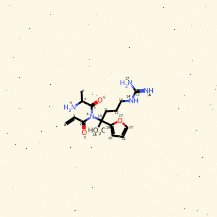 C=CC(=O)N(C(=O)C(C)N)C(CCCNC(=N)N)(C(=O)O)c1ccco1